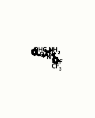 CC(c1ccc(C(F)(F)F)c(F)c1)n1nc(COCc2ccccc2)c(C=O)c1N